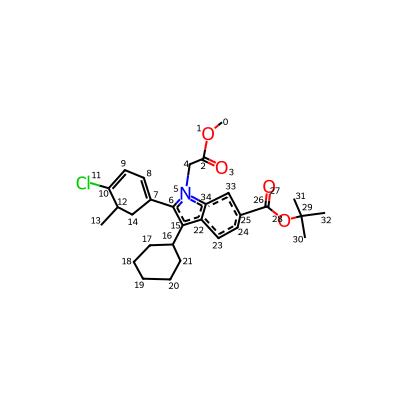 COC(=O)Cn1c(C2=CC=C(Cl)C(C)C2)c(C2CCCCC2)c2ccc(C(=O)OC(C)(C)C)cc21